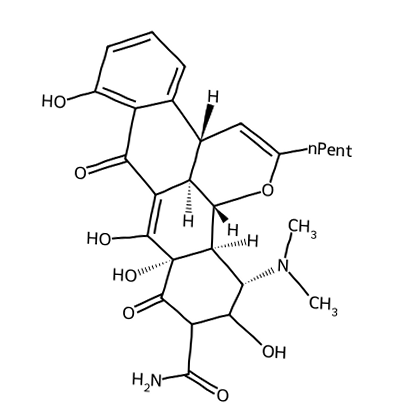 CCCCCC1=C[C@H]2c3cccc(O)c3C(=O)C3=C(O)[C@]4(O)C(=O)C(C(N)=O)C(O)[C@@H](N(C)C)[C@@H]4[C@@H](O1)[C@@H]32